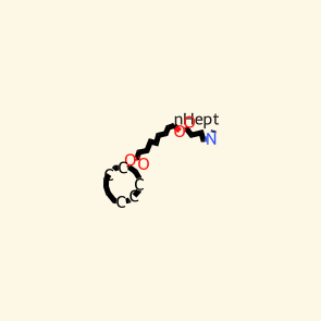 CCCCCCCC(CCCCCCCC(=O)OC1CCCCCCCCCCCCCC1)OC(=O)CCCN(C)C